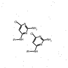 CC(C)Nc1cc(Cl)nc(N)n1.CC(C)Nc1cc(Cl)nc(N)n1